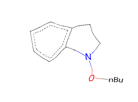 CCCCON1CCc2ccccc21